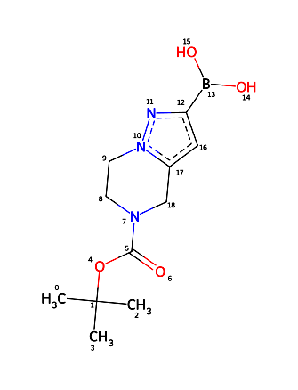 CC(C)(C)OC(=O)N1CCn2nc(B(O)O)cc2C1